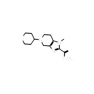 COC(=O)c1nc2c(n1C)CCN(C1CCOCC1)C2